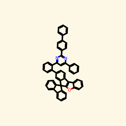 c1ccc(-c2ccc(-c3nc(-c4ccccc4)cc(-c4ccccc4-c4ccc5c(c4)C4(c6ccccc6-c6ccccc64)c4oc6ccccc6c4-5)n3)cc2)cc1